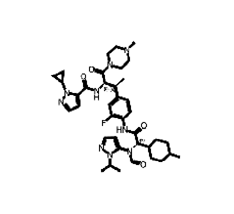 CC1CCC([C@@H](C(=O)Nc2ccc([C@H](C)[C@@H](NC(=O)c3ccnn3C3CC3)C(=O)N3CCN(C)CC3)cc2F)N(C=O)c2ccnn2C(C)C)CC1